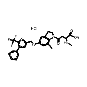 CNC(CC(=O)N1CCc2cc(OCc3cc(-c4ccccc4)c(C(F)(F)F)s3)cc(C)c21)C(=O)O.Cl